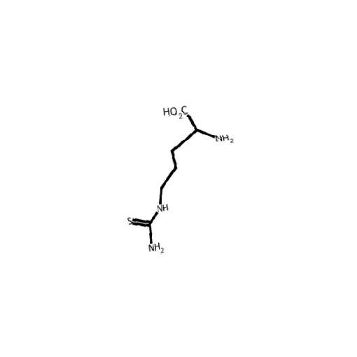 NC(=S)NCCCC(N)C(=O)O